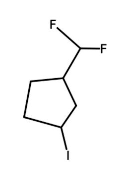 FC(F)C1CCC(I)C1